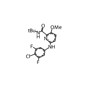 COc1ccc(Nc2cc(F)c(Cl)c(F)c2)nc1C(=O)NC(C)(C)C